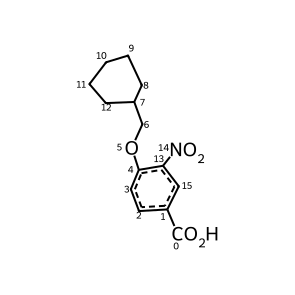 O=C(O)c1ccc(OCC2CCCCC2)c([N+](=O)[O-])c1